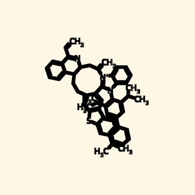 C=CC1=NC2CC(=C)[n+]3c(n(-c4c(C(C)C)cc(-c5ccccc5)cc4C(C)C)c4ccccc43)-c3cc4c(cc3CCC2c2ccccc21)sc1cc(C(C)C)ccc14